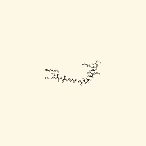 CCCCCNc1nc(N)nc2ccn(Cc3ccc(CN4CCN(C(=O)CCOCCOCCNC(=O)CNC(=O)CC(SCC(N)C(=O)O)C(=O)O)CC4)cc3OC)c12